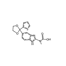 CN(C(=O)O)c1nc2cc(C3(c4cccs4)OCCO3)ccc2[nH]1